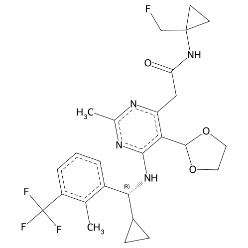 Cc1nc(CC(=O)NC2(CF)CC2)c(C2OCCO2)c(N[C@@H](c2cccc(C(F)(F)F)c2C)C2CC2)n1